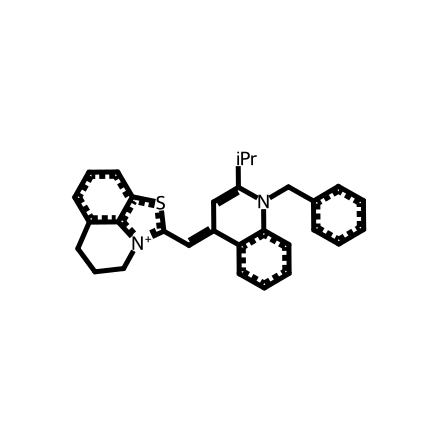 CC(C)C1=C/C(=C\c2sc3cccc4c3[n+]2CCC4)c2ccccc2N1Cc1ccccc1